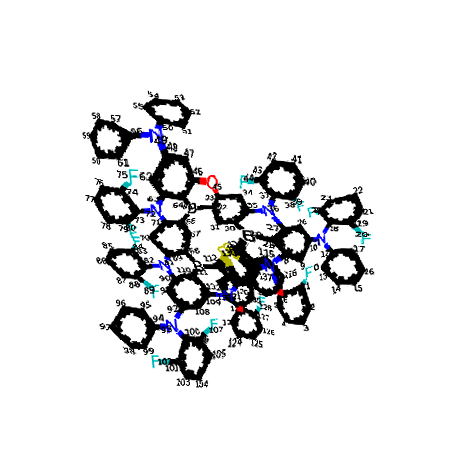 Fc1ccccc1N1c2cc(N(c3ccccc3)c3c(F)cccc3F)cc3c2B(c2cc4c(cc2N3c2c(F)cccc2F)Oc2cc(N(c3ccccc3)c3ccccc3)cc3c2B4c2cc4c(cc2N3c2c(F)cccc2F)N(c2c(F)cccc2F)c2cc(N(c3ccccc3)c3c(F)cccc3F)cc3c2B4c2sc4ccccc4c2N3c2ccccc2F)c2sc3ccccc3c21